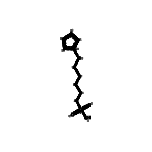 O=S(=O)(O)CCCCCOc1[c]s[c]c1